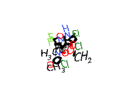 C=CCOC(=O)[C@H]1[C@@H](C(=O)N(C)c2cc(Cl)cc(OC)c2)[C@H]2CC(F)(F)CN2C12C(=O)Nc1c(Cl)cc(Cl)cc12